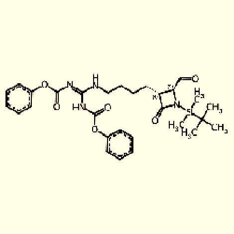 CC(C)(C)[Si](C)(C)N1C(=O)[C@H](CCCCNC(=NC(=O)Oc2ccccc2)NC(=O)Oc2ccccc2)[C@H]1C=O